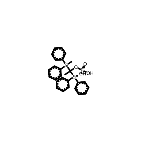 CC(OP(=O)(O)O)([Si](C)(c1ccccc1)c1ccccc1)[Si](C)(c1ccccc1)c1ccccc1